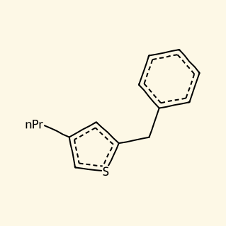 CCCc1csc(Cc2ccccc2)c1